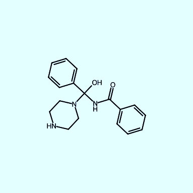 O=C(NC(O)(c1ccccc1)N1CCNCC1)c1ccccc1